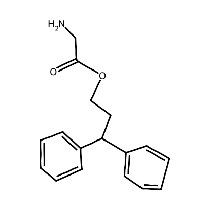 NCC(=O)OCCC(c1ccccc1)c1ccccc1